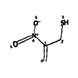 C=C(CS)[N+](=O)[O-]